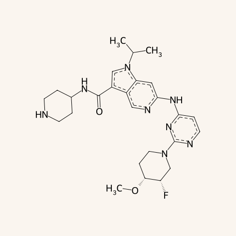 CO[C@@H]1CCN(c2nccc(Nc3cc4c(cn3)c(C(=O)NC3CCNCC3)cn4C(C)C)n2)C[C@@H]1F